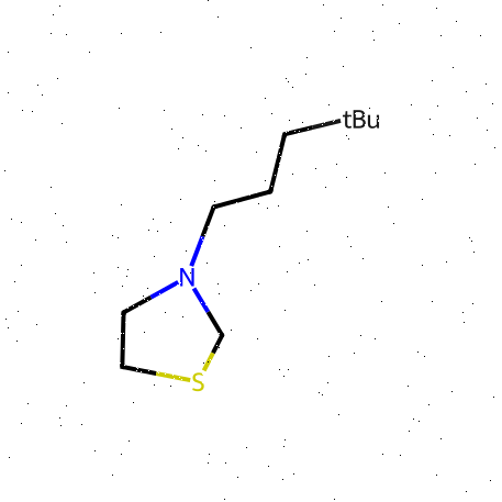 CC(C)(C)CCCN1CCSC1